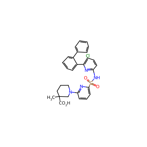 CC1(C(=O)O)CCCN(c2cccc(S(=O)(=O)Nc3ccc(Cl)c(-c4ccccc4-c4ccccc4)n3)n2)C1